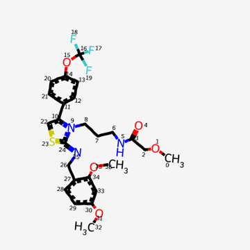 COCC(=O)NCCCn1c(-c2ccc(OC(F)(F)F)cc2)csc1=NCc1ccc(OC)cc1OC